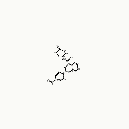 CCOc1ccc(-c2cc3ccccc3c(C(=O)NC3CCC(=O)CC3)n2)cc1